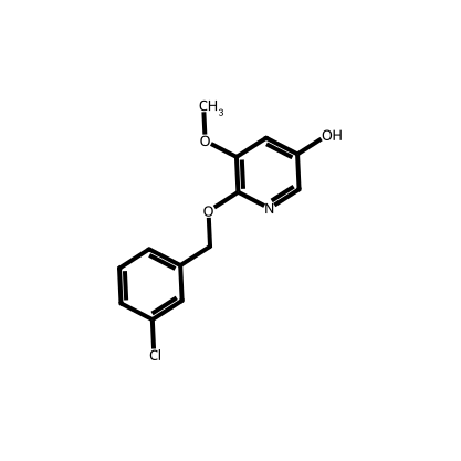 COc1cc(O)cnc1OCc1cccc(Cl)c1